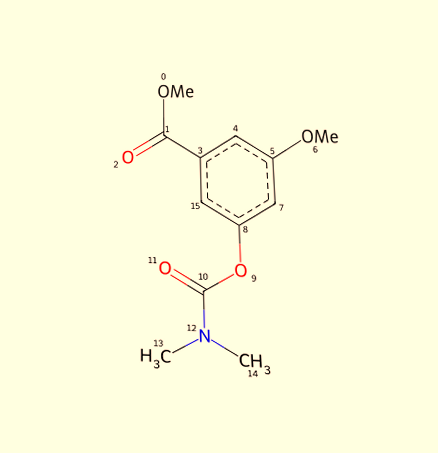 COC(=O)c1cc(OC)cc(OC(=O)N(C)C)c1